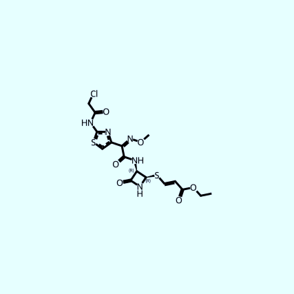 CCOC(=O)C=CS[C@H]1NC(=O)[C@H]1NC(=O)C(=NOC)c1csc(NC(=O)CCl)n1